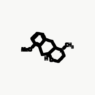 COc1cccc2c1C[C@@H]1OCCN(C)C1C2